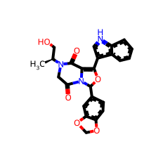 C[C@@H](CO)N1CC(=O)N2C(=C(c3c[nH]c4ccccc34)OC2c2ccc3c(c2)OCO3)C1=O